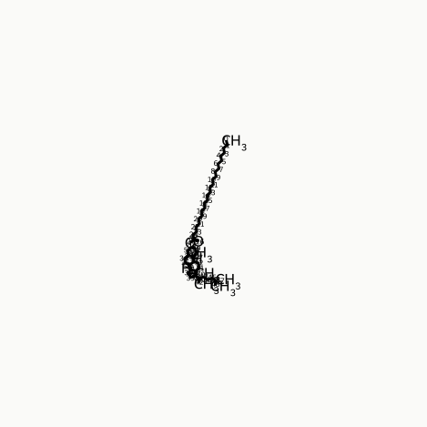 CCCCCCCCCCCCCCCCCCCCCCCCCC(=O)O[C@H]1CC[C@@]2(C)C(=CC[C@H]3[C@@H]4CC[C@H](C(C)CCCC(C)C)[C@@]4(C)CC[C@@H]32)C1